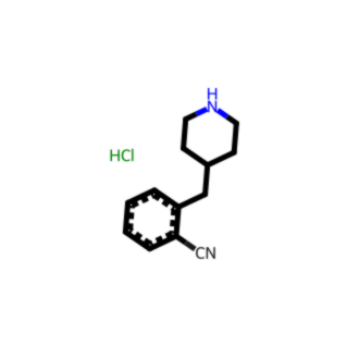 Cl.N#Cc1ccccc1CC1CCNCC1